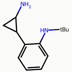 CC(C)(C)Nc1ccccc1C1CC1N